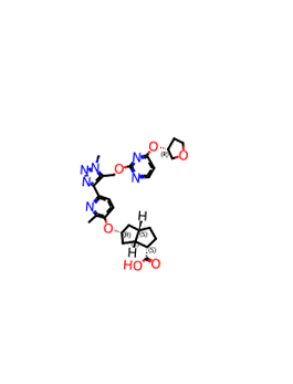 Cc1nc(-c2nnn(C)c2COc2nccc(O[C@@H]3CCOC3)n2)ccc1O[C@@H]1C[C@@H]2CC[C@H](C(=O)O)[C@@H]2C1